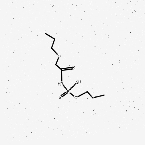 CCCOCC(=S)NP(=S)(S)OCCC